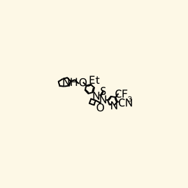 CCc1cc(N2C(=S)N(c3cnc(C#N)c(C(F)(F)F)c3)C(=O)C23CCC3)ccc1OCCC1CC2CCC(C1)N2